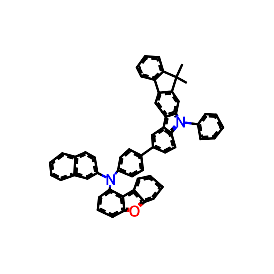 CC1(C)c2ccccc2-c2cc3c4cc(-c5ccc(N(c6ccc7ccccc7c6)c6cccc7oc8ccccc8c67)cc5)ccc4n(-c4ccccc4)c3cc21